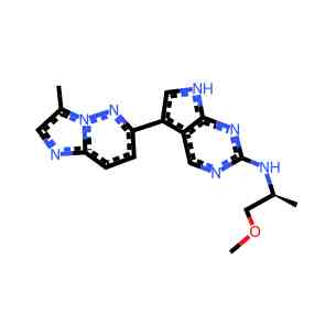 COC[C@H](C)Nc1ncc2c(-c3ccc4ncc(C)n4n3)c[nH]c2n1